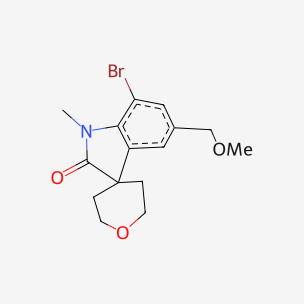 COCc1cc(Br)c2c(c1)C1(CCOCC1)C(=O)N2C